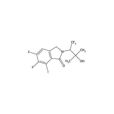 CC(C)(O)C(N1Cc2cc(F)c(F)c(I)c2C1=O)C(F)(F)F